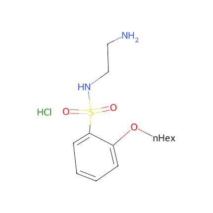 CCCCCCOc1ccccc1S(=O)(=O)NCCN.Cl